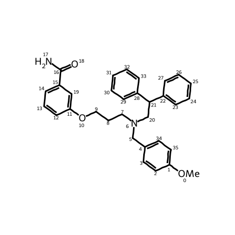 COc1ccc(CN(CCCOc2cccc(C(N)=O)c2)CC(c2ccccc2)c2ccccc2)cc1